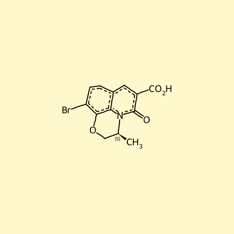 C[C@H]1COc2c(Br)ccc3cc(C(=O)O)c(=O)n1c23